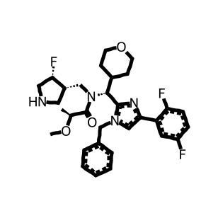 CO[C@@H](C)C(=O)N(C[C@@H]1CNC[C@@H]1F)[C@@H](c1nc(-c2cc(F)ccc2F)cn1Cc1ccccc1)C1CCOCC1